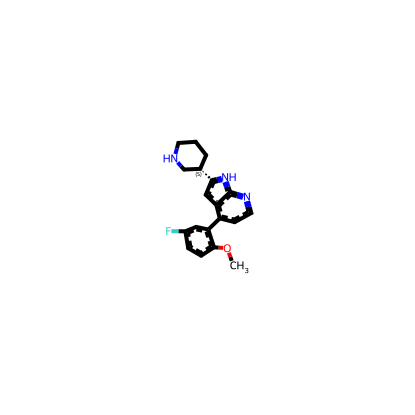 COc1ccc(F)cc1-c1ccnc2[nH]c([C@H]3CCCNC3)cc12